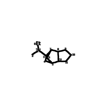 CCN(C)C1CC2CC1C1CCCC21